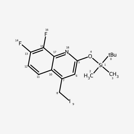 CC(C)(C)[Si](C)(C)Oc1cc(CI)c2ccc(F)c(F)c2n1